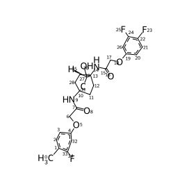 Cc1ccc(OCC(=O)NC23CCC(NC(=O)COc4ccc(F)c(F)c4)(CC2)[C@@H](O)C3)cc1F